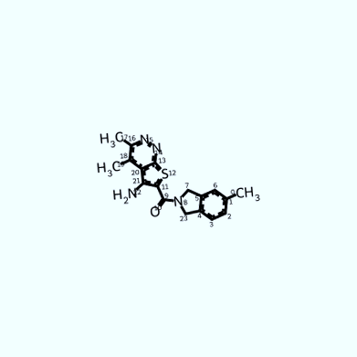 Cc1ccc2c(c1)CN(C(=O)c1sc3nnc(C)c(C)c3c1N)C2